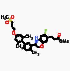 COC(=O)CCc1cc2c(cc1F)NC(c1cc(-c3c(C)cc(OCCCS(C)(=O)=O)cc3C)ccc1C)CO2